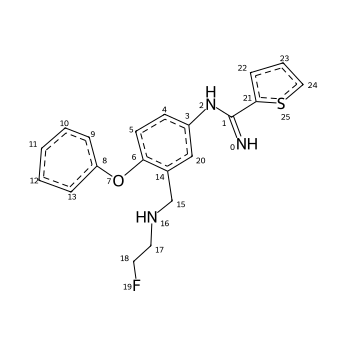 N=C(Nc1ccc(Oc2ccccc2)c(CNCCF)c1)c1cccs1